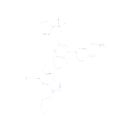 Cc1cc2c(cnn2C2CCCCO2)c(N2CCc3c(nc(OCC4(N5CCOCC5)CC4)nc3N3CCN[C@@H](CC#N)C3)C2)c1C